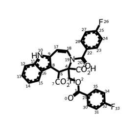 O=C(OCC1(C(=O)O)C(C(=O)O)c2c([nH]c3ccccc23)C=CN1C(=O)c1ccc(F)cc1)c1ccc(F)cc1